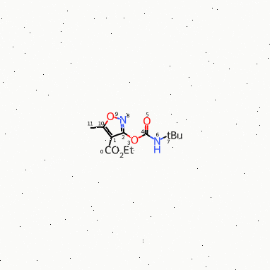 CCOC(=O)c1c(OC(=O)NC(C)(C)C)noc1C